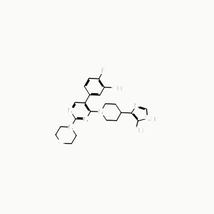 Cc1cc(-c2cnc(N3CCOCC3)nc2N2CCC(c3nc[nH]c3C)CC2)ccc1F